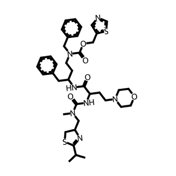 CC(C)C1=NC(CN(C)C(=O)NC(CCN2CCOCC2)C(=O)NC(CCN(Cc2ccccc2)C(=O)OCc2cncs2)Cc2ccccc2)CS1